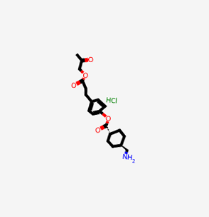 CC(=O)COC(=O)CCc1ccc(OC(=O)[C@H]2CC[C@H](CN)CC2)cc1.Cl